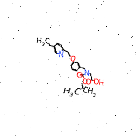 CCc1ccc(CCOc2cccc(CN(CC(=O)O)C(=O)OCC(C)C)c2)nc1